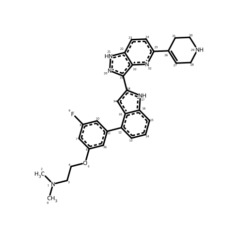 CN(C)CCOc1cc(F)cc(-c2cccc3[nH]c(-c4n[nH]c5ccc(C6=CCNCC6)nc45)cc23)c1